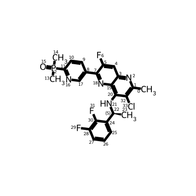 Cc1nc2cc(F)c(-c3ccc(P(C)(C)=O)nc3)nc2c(N[C@@H](C)c2cccc(F)c2F)c1Cl